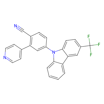 N#Cc1ccc(-n2c3ccccc3c3cc(C(F)(F)F)ccc32)cc1-c1ccncc1